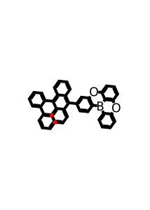 c1ccc(-c2ccccc2-c2c3ccccc3c(-c3ccc4c(c3)Oc3cccc5c3B4c3ccccc3O5)c3ccccc23)cc1